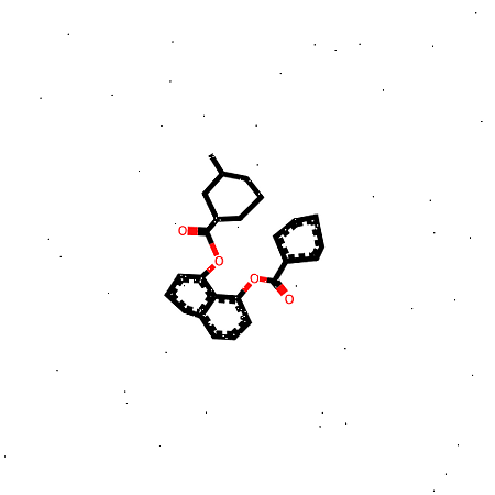 CC1CCCC(C(=O)Oc2cccc3cccc(OC(=O)c4ccccc4)c23)C1